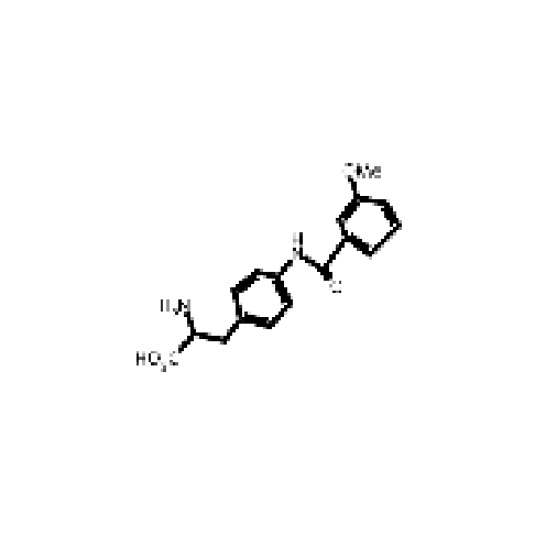 COc1cccc(C(=O)Nc2ccc(CC(N)C(=O)O)cc2)c1